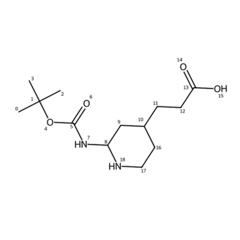 CC(C)(C)OC(=O)NC1CC(CCC(=O)O)CCN1